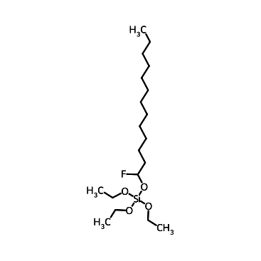 CCCCCCCCCCCCC(F)O[Si](OCC)(OCC)OCC